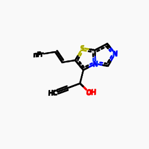 C#CC(O)c1c(C=CCCC)sc2cncn12